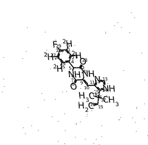 [2H]c1c([2H])c(C2NC(=O)C(=Cc3nc[nH]c3C(C)(C)C=C)NC2=O)c([2H])c([2H])c1F